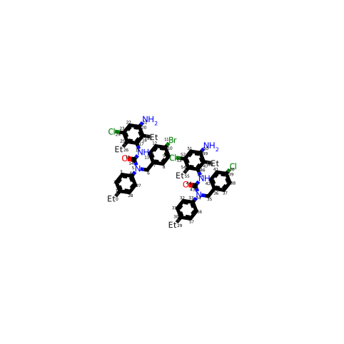 CCc1ccc(N(Cc2ccc(Br)cc2)C(=O)Nc2c(CC)c(N)cc(Cl)c2CC)cc1.CCc1ccc(N(Cc2ccc(Cl)cc2)C(=O)Nc2c(CC)c(N)cc(Cl)c2CC)cc1